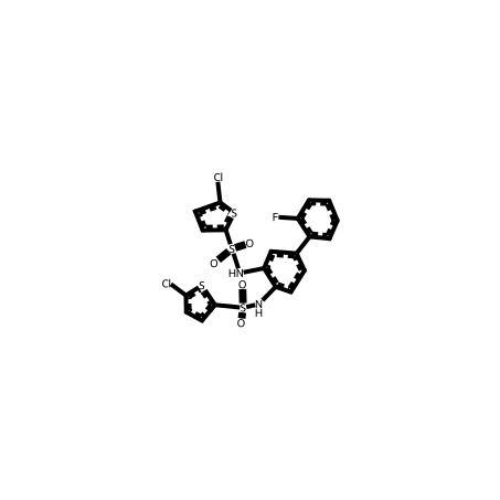 O=S(=O)(Nc1ccc(-c2ccccc2F)cc1NS(=O)(=O)c1ccc(Cl)s1)c1ccc(Cl)s1